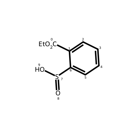 CCOC(=O)c1ccccc1S(=O)O